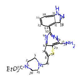 CCOC(=O)N1CCN(Cc2cc3nc(-c4cccc5[nH]ncc45)nc(N)c3s2)CC1